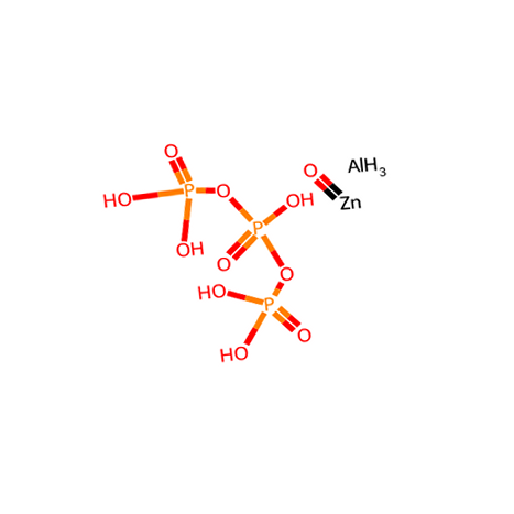 O=P(O)(O)OP(=O)(O)OP(=O)(O)O.[AlH3].[O]=[Zn]